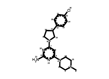 CN1CCN(c2cc(N3CCC(c4ccc(Cl)cc4)C3)nc(N)n2)CC1